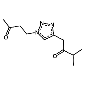 CC(=O)CCn1cc(CC(=O)C(C)C)nn1